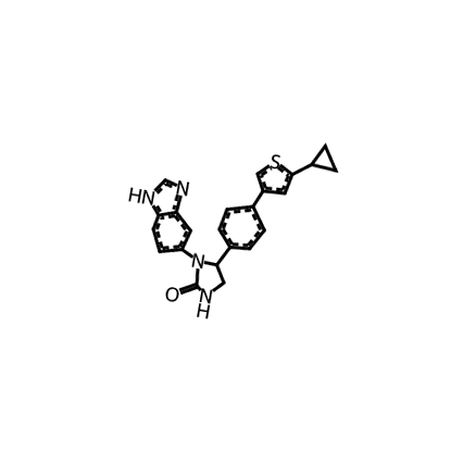 O=C1NCC(c2ccc(-c3csc(C4CC4)c3)cc2)N1c1ccc2[nH]cnc2c1